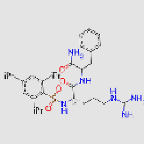 CC(C)c1cc(C(C)C)c(S(=O)(=O)N[C@@H](CCCNC(=N)N)C(=O)NC(Cc2ccccc2)C(N)=O)c(C(C)C)c1